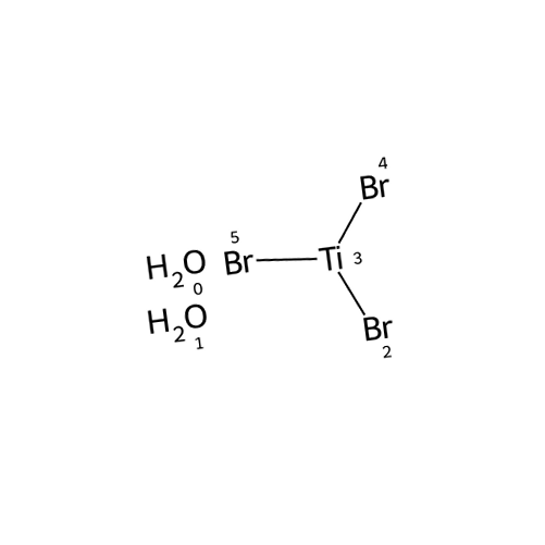 O.O.[Br][Ti]([Br])[Br]